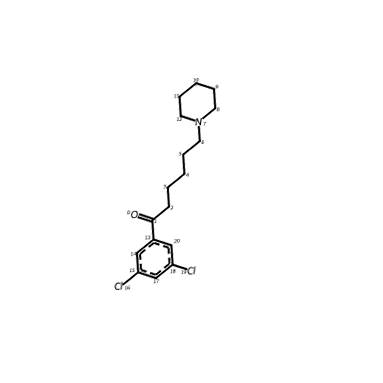 O=C(CCCCCN1CC[CH]CC1)c1cc(Cl)cc(Cl)c1